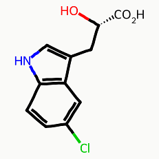 O=C(O)[C@@H](O)Cc1c[nH]c2ccc(Cl)cc12